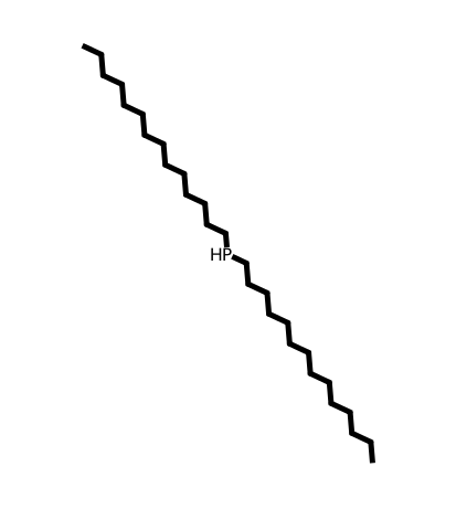 CCCCCCCCCCCCCCPCCCCCCCCCCCCCC